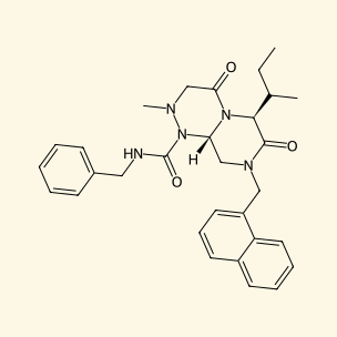 CCC(C)[C@H]1C(=O)N(Cc2cccc3ccccc23)C[C@H]2N1C(=O)CN(C)N2C(=O)NCc1ccccc1